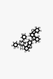 c1ccc(C2=NC(c3ccccc3)NC(c3cccc4oc5cc(-n6c7ccccc7c7c8c(ccc76)oc6ccccc68)ccc5c34)=N2)cc1